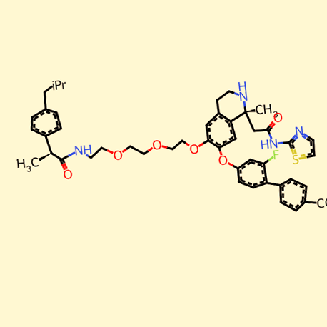 CC(C)Cc1ccc([C@H](C)C(=O)NCCOCCOCCOc2cc3c(cc2Oc2ccc(-c4ccc(C(=O)O)cc4)c(F)c2)[C@@](C)(CC(=O)Nc2nccs2)NCC3)cc1